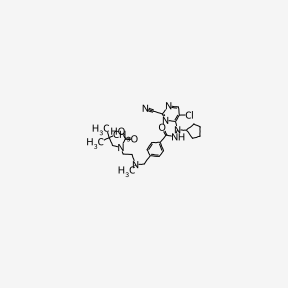 CN(CCN(CC(C)(C)C)C(=O)O)Cc1ccc(C(=O)NN(c2nc(C#N)ncc2Cl)C2CCCC2)cc1